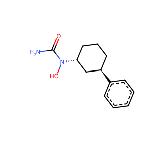 NC(=O)N(O)[C@@H]1CCC[C@@H](c2ccccc2)C1